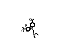 CCN(CC)CCn1c2ccc(C(C)=O)cc2c2c(F)c(C(C)=O)ccc21